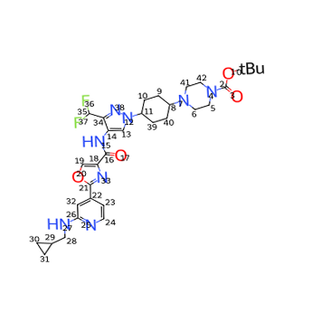 CC(C)(C)OC(=O)N1CCN(C2CCC(n3cc(NC(=O)c4coc(-c5ccnc(NCC6CC6)c5)n4)c(C(F)F)n3)CC2)CC1